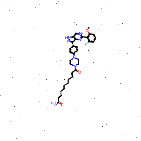 COc1cccc(F)c1-c1ncc2[nH]nc(-c3ccc(N4CCN(C(=O)CCCCCCCCCC(N)=O)CC4)cc3)c2n1